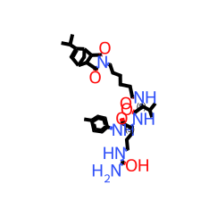 Cc1ccc(NC(=O)[C@H](CCCNC(N)O)NC(=O)[C@@H](NC(=O)CCCCCN2C(=O)C3C4C=C(C(C)C)C(C4)C3C2=O)C(C)C)cc1